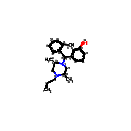 C=CCN1C[C@H](C)N([C@H](c2cccc(O)c2)c2ccccc2C#N)C[C@H]1C